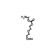 COCCOCCOC(=O)OCN